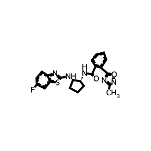 Cc1noc(-c2ccccc2C(=O)N[C@@H]2CCC[C@H]2Nc2nc3ccc(F)cc3s2)n1